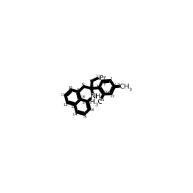 Cc1ccc(C2(CC(C)C)Cc3cccc4cccc(c34)N2)c(C)c1